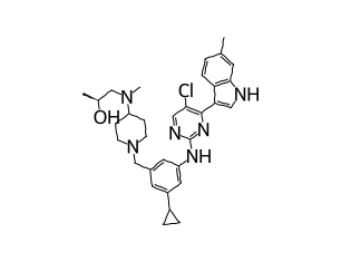 Cc1ccc2c(-c3nc(Nc4cc(CN5CCC(N(C)C[C@H](C)O)CC5)cc(C5CC5)c4)ncc3Cl)c[nH]c2c1